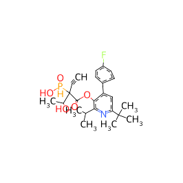 C#CC(C(=O)Oc1c(-c2ccc(F)cc2)cc(C(C)(C)C)nc1C(C)C)(C(C)O)[PH](=O)O